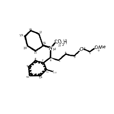 COCOCCC[C@@H](c1ccccc1I)N(C(=O)O)C1CCCCC1